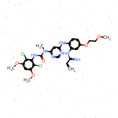 C=CC(=N)Nc1cc(OCCOC)ccc1Nc1cc(N(C)C(=O)Nc2c(Cl)c(OC)cc(OC)c2Cl)ncn1